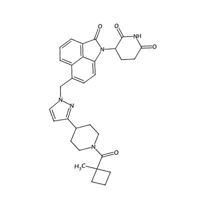 CC1(C(=O)N2CCC(c3ccn(Cc4ccc5c6c(cccc46)C(=O)N5C4CCC(=O)NC4=O)n3)CC2)CCC1